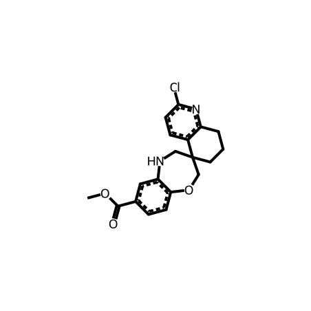 COC(=O)c1ccc2c(c1)NCC1(CCCc3nc(Cl)ccc31)CO2